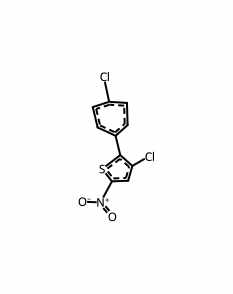 O=[N+]([O-])c1cc(Cl)c(-c2ccc(Cl)cc2)s1